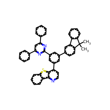 CC1(C)c2ccccc2-c2cc(-c3cc(-c4nc(-c5ccccc5)cc(-c5ccccc5)n4)cc(-c4ccnc5c4sc4ccccc45)c3)ccc21